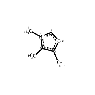 Cc1oc[n+](C)c1C